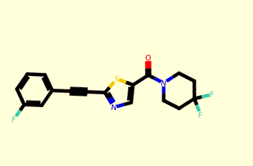 O=C(c1cnc(C#Cc2cccc(F)c2)s1)N1CCC(F)(F)CC1